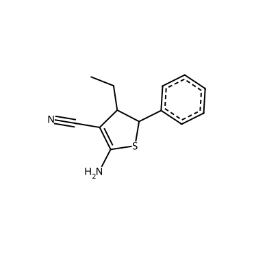 CCC1C(C#N)=C(N)SC1c1ccccc1